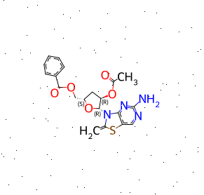 C=C1Sc2cnc(N)nc2N1[C@@H]1O[C@H](COC(=O)c2ccccc2)C[C@H]1OC(C)=O